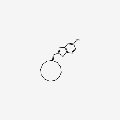 Oc1ccc2oc(C=C3CCCCCCCCCCC3)nc2c1